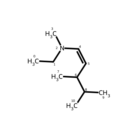 CCN(C)/C=C\C(C)C(C)C